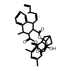 C=CC(C)/C=C\C1c2ccccc2C(C)C(C(=O)Oc2c(C)cc(C)cc2C(=O)O)C1C(=O)OC1C2CC3C(=C)OC1C3C2